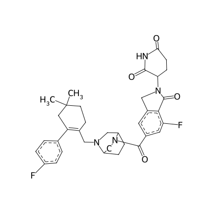 CC1(C)CCC(CN2CC3CCC2CN3C(=O)c2cc(F)c3c(c2)CN(C2CCC(=O)NC2=O)C3=O)=C(c2ccc(F)cc2)C1